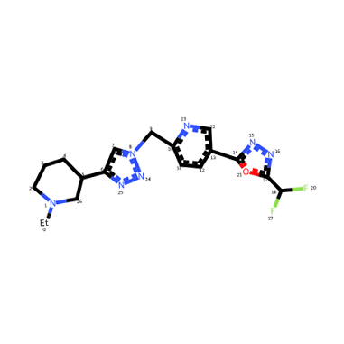 CCN1CCCC(c2cn(Cc3ccc(-c4nnc(C(F)F)o4)cn3)nn2)C1